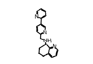 c1ccc(-c2ccc(CNC3CCCc4cccnc43)nc2)nc1